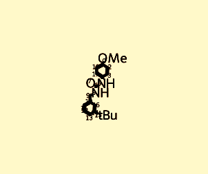 COc1ccc(NC(=O)NCc2cccc(C(C)(C)C)c2)cc1